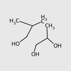 CC(C)CO.CC(O)CO